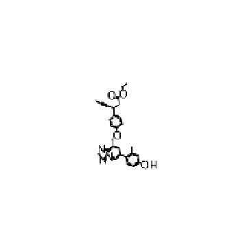 CC#CC(CC(=O)OCC)c1ccc(OCc2cc(-c3ccc(O)cc3C)cn3ncnc23)cc1